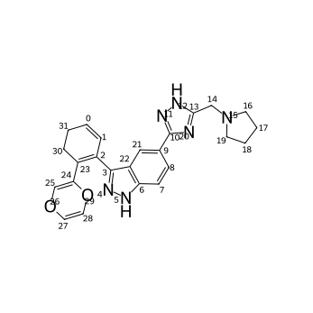 C1=CC(c2n[nH]c3ccc(-c4n[nH]c(CN5CCCC5)n4)cc23)=C(C2=COC=CO2)CC1